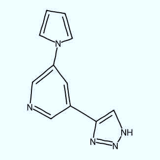 c1ccn(-c2cncc(-c3c[nH]nn3)c2)c1